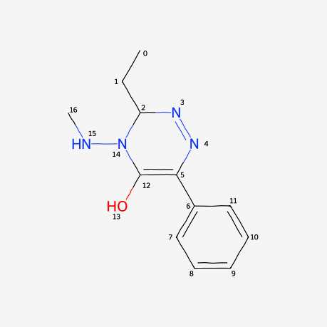 CCC1N=NC(c2ccccc2)=C(O)N1NC